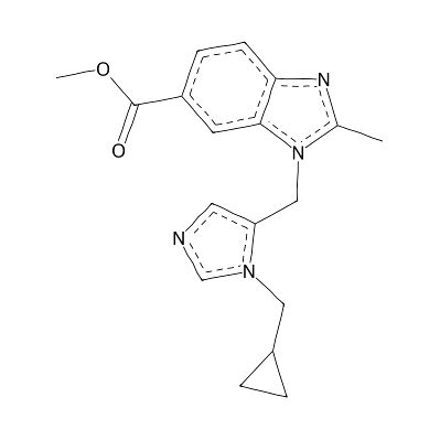 COC(=O)c1ccc2nc(C)n(Cc3cncn3CC3CC3)c2c1